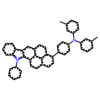 Cc1cccc(N(c2ccc(-c3ccc4ccc5c6c(ccc3c46)cc3c4ccccc4n(-c4ccccc4)c35)cc2)c2cccc(C)c2)c1